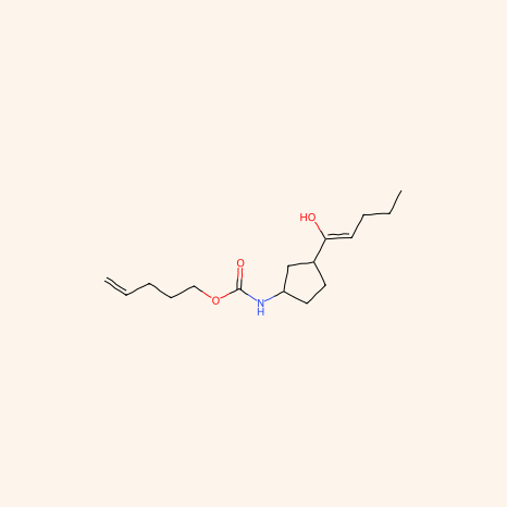 C=CCCCOC(=O)NC1CCC(C(O)=CCCC)C1